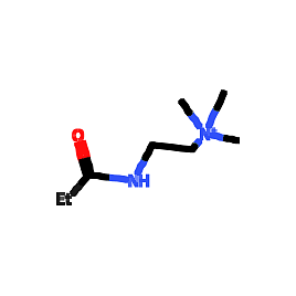 CCC(=O)NCC[N+](C)(C)C